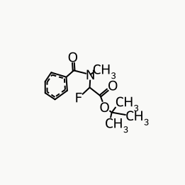 CN(C(=O)c1ccccc1)C(F)C(=O)OC(C)(C)C